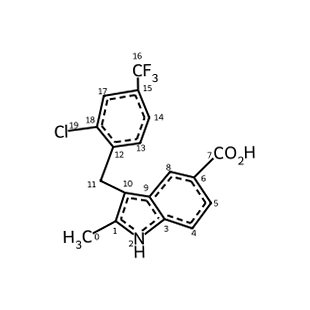 Cc1[nH]c2ccc(C(=O)O)cc2c1Cc1ccc(C(F)(F)F)cc1Cl